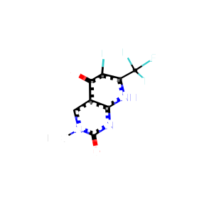 Cn1cc2c(=O)c(F)c(C(F)(F)F)[nH]c2nc1=O